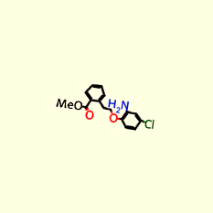 COC(=O)c1ccccc1CCOc1ccc(Cl)cc1N